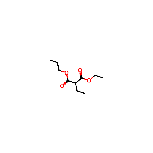 CCCOC(=O)C(CC)C(=O)OCC